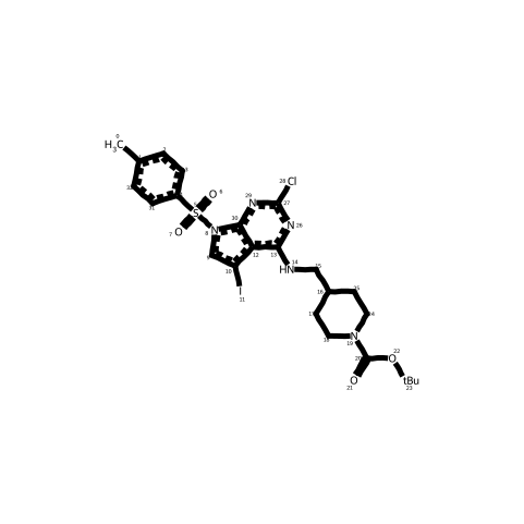 Cc1ccc(S(=O)(=O)n2cc(I)c3c(NCC4CCN(C(=O)OC(C)(C)C)CC4)nc(Cl)nc32)cc1